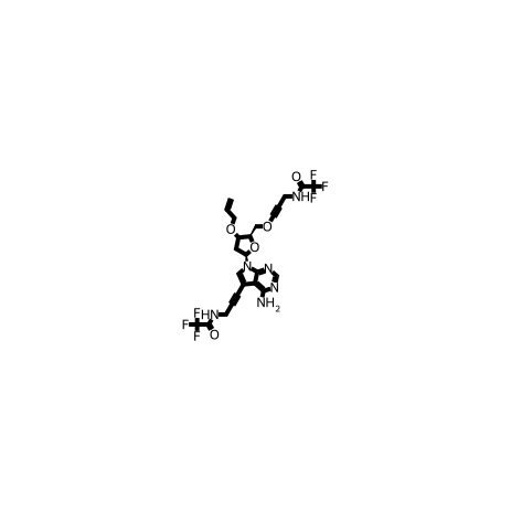 C=CCOC1C[C@H](n2cc(C#CCNC(=O)C(F)(F)F)c3c(N)ncnc32)O[C@@H]1COC#CCNC(=O)C(F)(F)F